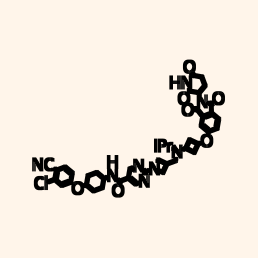 CC(C)N(CC1CN(c2ncc(C(=O)NC3CCC(Oc4ccc(C#N)c(Cl)c4)CC3)cn2)C1)C1CC(Oc2ccc3c(c2)C(=O)N([C@@H]2CCC(=O)NC2=O)C3=O)C1